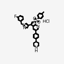 Cc1ccc(S(=O)(=O)n2cc(-c3cnn(Cc4cccc(F)c4)c3)c3cc(-c4ccc(C5CCNCC5)cc4)cnc32)cc1.Cl